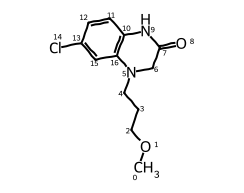 COCCCN1CC(=O)Nc2ccc(Cl)cc21